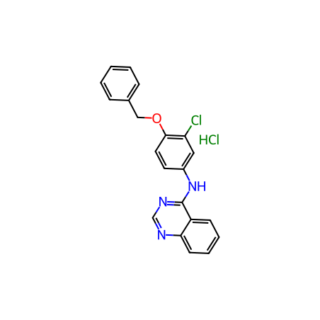 Cl.Clc1cc(Nc2ncnc3ccccc23)ccc1OCc1ccccc1